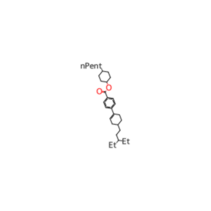 CCCCCC1CCC(OC(=O)c2ccc(C3=CCC(CCC(CC)CC)CC3)cc2)CC1